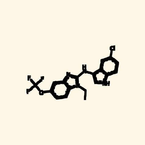 CCn1c(Nc2c[nH]c3ccc(Cl)cc23)nc2cc(OC(F)(F)F)ccc21